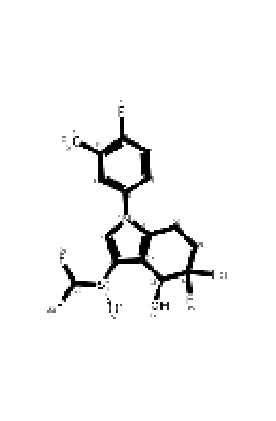 [O-][S@@+](c1cn(-c2ccc(F)c(C(F)(F)F)c2)c2c1[C@H](O)C(F)(F)CC2)C(F)F